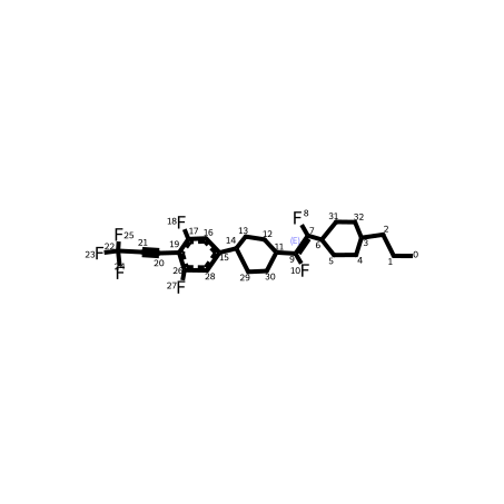 CCCC1CCC(/C(F)=C(\F)C2CCC(c3cc(F)c(C#CC(F)(F)F)c(F)c3)CC2)CC1